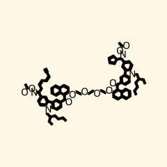 C#C/C=C\C=C/C/C(=N\OC(C)=O)c1ccc2c(c1)c1cc(C(=O)c3c(OCCOCCOCCOc4ccc5ccccc5c4C(=O)c4ccc5c(c4)c4cc(/C(=N/OC(C)=O)C6C=CC=C6)ccc4n5CC(CC)CCCC)ccc4ccccc34)ccc1n2CC(CC)CCCC